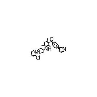 Cc1cc(C)c(C(=O)N2CCN(c3cccnc3)CC2)c(C)c1NC1CCN(c2ncccc2Cl)CC1